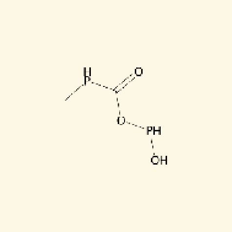 CPC(=O)OPO